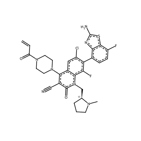 C=CC(=O)N1CCN(c2c(C#N)c(=O)n(C[C@@H]3CCCN3C)c3c(F)c(-c4ccc(F)c5sc(N)nc45)c(Cl)cc23)CC1